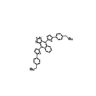 CCC(C)Cc1ccc(-c2ccc(-c3c4ccccc4c(-c4ccc(-c5ccc(CC(C)CC)cc5)s4)c4nsnc34)s2)cc1